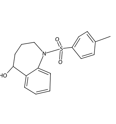 Cc1ccc(S(=O)(=O)N2CCCC(O)c3ccccc32)cc1